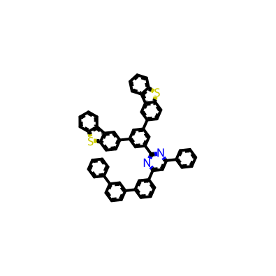 c1ccc(-c2cccc(-c3cccc(-c4cc(-c5ccccc5)nc(-c5cc(-c6ccc7sc8ccccc8c7c6)cc(-c6ccc7sc8ccccc8c7c6)c5)n4)c3)c2)cc1